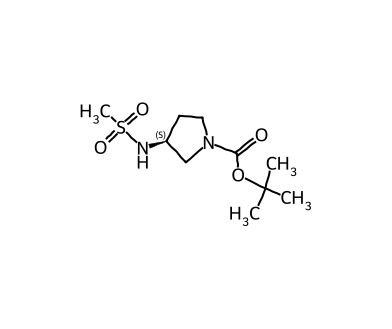 CC(C)(C)OC(=O)N1CC[C@H](NS(C)(=O)=O)C1